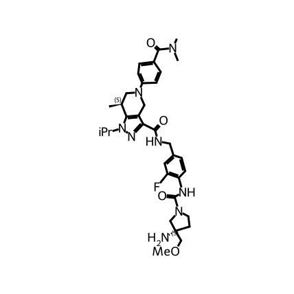 COC[C@]1(N)CCN(C(=O)Nc2ccc(CNC(=O)c3nn(C(C)C)c4c3CN(c3ccc(C(=O)N(C)C)cc3)C[C@@H]4C)cc2F)C1